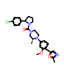 COc1cc(N2CCN(C(=O)N3CCCC3c3ccc(Cl)cc3)C[C@@H]2C)ccc1-c1cnc(C)o1